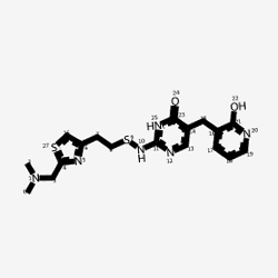 CN(C)Cc1nc(CCSNc2ncc(Cc3cccnc3O)c(=O)[nH]2)cs1